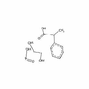 CC(C(=O)O)c1ccccc1.O=PO.OCCO